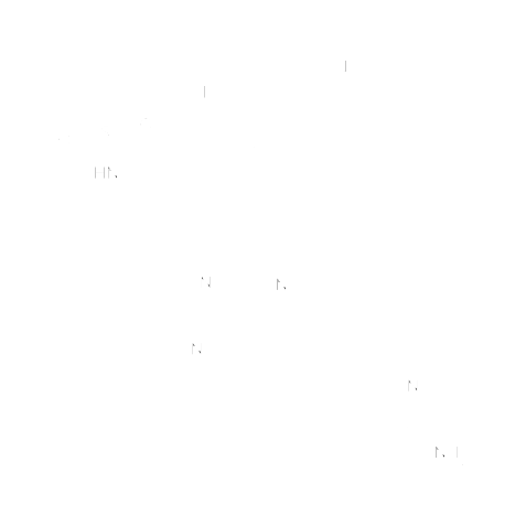 CCS(=O)(=O)Nc1cc(-c2ccc(F)cc2F)cc(-n2cnc3cc(-c4ccc(N)nc4)cnc32)c1